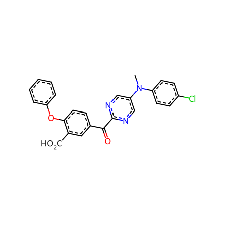 CN(c1ccc(Cl)cc1)c1cnc(C(=O)c2ccc(Oc3ccccc3)c(C(=O)O)c2)nc1